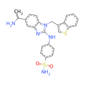 C=C(N)c1ccc2c(c1)nc(Nc1ccc(S(N)(=O)=O)cc1)n2Cc1csc2ccccc12